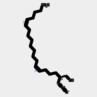 [N-]=[N+]=N[C@@H](CO)CCC/C=C\CCCCCCC/C=C\CCCC(=O)O